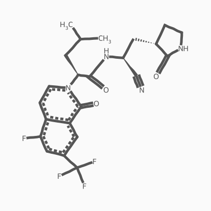 CC(C)C[C@@H](C(=O)N[C@H](C#N)C[C@@H]1CCNC1=O)n1ccc2c(F)cc(C(F)(F)F)cc2c1=O